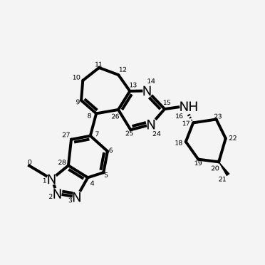 Cn1nnc2ccc(C3=CCCCc4nc(N[C@H]5CC[C@H](C)CC5)ncc43)cc21